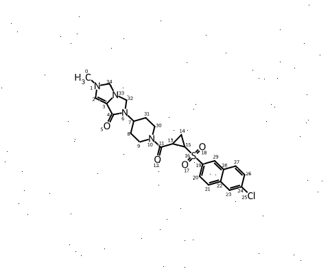 CN1C=C2C(=O)N(C3CCN(C(=O)C4CC4S(=O)(=O)c4ccc5cc(Cl)ccc5c4)CC3)CN2C1